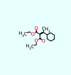 CCOC(=O)C(C(=O)OCC)=C(C)C1CCCCC1